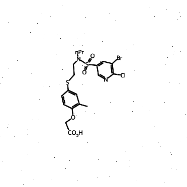 CCCN(CCSc1ccc(OCC(=O)O)c(C)c1)S(=O)(=O)c1cnc(Cl)c(Br)c1